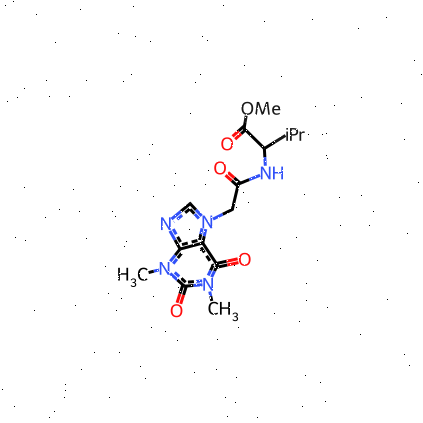 COC(=O)C(NC(=O)Cn1cnc2c1c(=O)n(C)c(=O)n2C)C(C)C